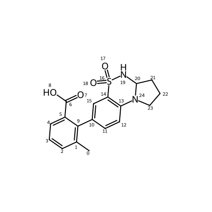 Cc1cccc(C(=O)O)c1-c1ccc2c(c1)S(=O)(=O)NC1CCCN21